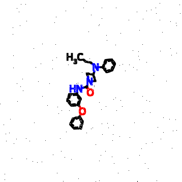 CCCN(c1ccccc1)C1CN(C(=O)Nc2cccc(Oc3ccccc3)c2)C1